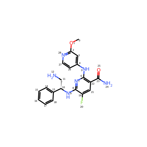 COc1cc(Nc2nc(N[C@@H](CN)c3ccccc3)c(F)cc2C(N)=O)ccn1